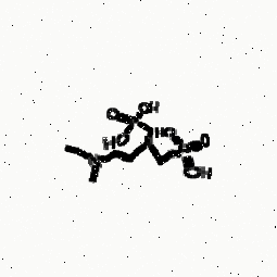 CN(C)CCN(CP(=O)(O)O)CP(=O)(O)O